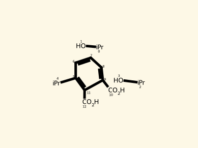 CC(C)O.CC(C)O.CC(C)c1cccc(C(=O)O)c1C(=O)O